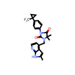 Cc1cc2c(CN3C(=O)N(c4ccc(C5(C(F)(F)F)CC5)cc4)C(=O)C3(C)C)ccnc2[nH]1